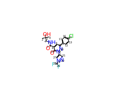 CC(C)(O)CNC(=O)c1cc(-c2ccc(Cl)cc2)nn(-c2cnn(C(F)F)c2)c1=O